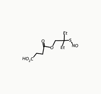 CCC(CC)(COC(=O)CCC(=O)O)SN=O